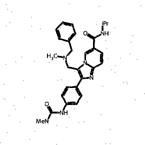 CNC(=O)Nc1ccc(-c2nc3ccc(C(=O)NC(C)C)cn3c2CN(C)Cc2ccccc2)cc1